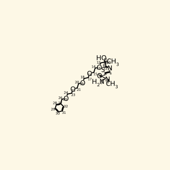 CN=S(N)(=O)c1cnc([C@@](C)(O)COCCOCCOCCOCCOCc2ccccc2)s1